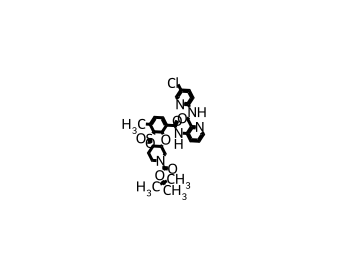 CC1=CC=C(C(=O)Nc2cccnc2C(=O)Nc2ccc(Cl)cn2)C(OC2CCCN(C(=O)OC(C)(C)C)C2)C1=S(=O)=O